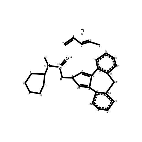 C=CC=CC.CN(C1CCCCC1)[Si](=O)CC1C=C2C(=C1)c1ccccc1Cc1ccccc12.[Ti]